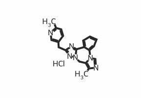 Cc1ccc(Cc2nc3n(n2)Cc2c(C)ncn2-c2ccccc2-3)cn1.Cl